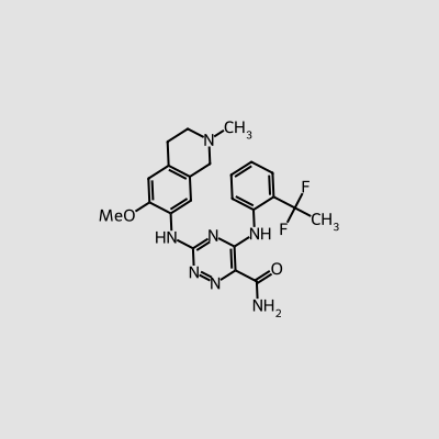 COc1cc2c(cc1Nc1nnc(C(N)=O)c(Nc3ccccc3C(C)(F)F)n1)CN(C)CC2